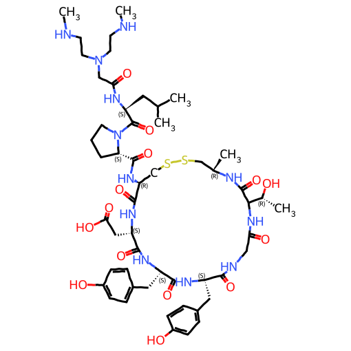 CNCCN(CCNC)CC(=O)N[C@@H](CC(C)C)C(=O)N1CCC[C@H]1C(=O)N[C@H]1CSSC[C@@H](C)NC(=O)C([C@@H](C)O)NC(=O)CNC(=O)[C@H](Cc2ccc(O)cc2)NC(=O)[C@H](Cc2ccc(O)cc2)NC(=O)[C@H](CC(=O)O)NC1=O